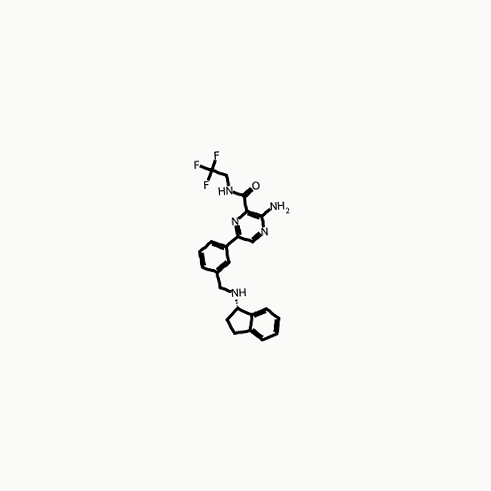 Nc1ncc(-c2cccc(CN[C@H]3CCc4ccccc43)c2)nc1C(=O)NCC(F)(F)F